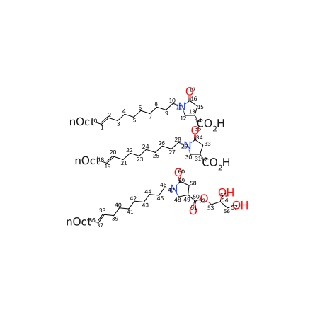 CCCCCCCCC=CCCCCCCCCN1CC(C(=O)O)CC1=O.CCCCCCCCC=CCCCCCCCCN1CC(C(=O)O)CC1=O.CCCCCCCCC=CCCCCCCCCN1CC(C(=O)OCC(O)CO)CC1=O